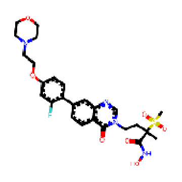 CC(CCn1cnc2cc(-c3ccc(OCCN4CCOCC4)cc3F)ccc2c1=O)(C(=O)NO)S(C)(=O)=O